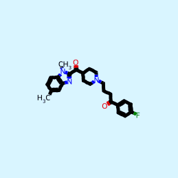 Cc1ccc2c(c1)nc(C(=O)C1CCN(CCCC(=O)c3ccc(F)cc3)CC1)n2C